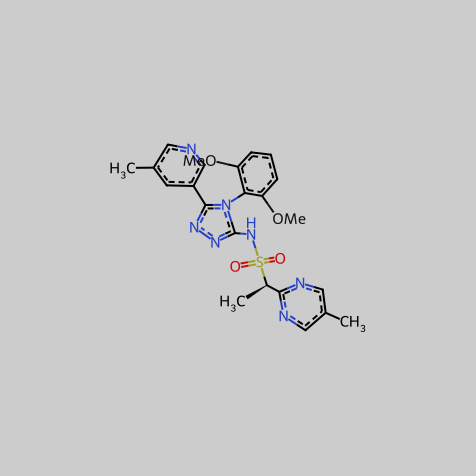 COc1cccc(OC)c1-n1c(NS(=O)(=O)[C@H](C)c2ncc(C)cn2)nnc1-c1cncc(C)c1